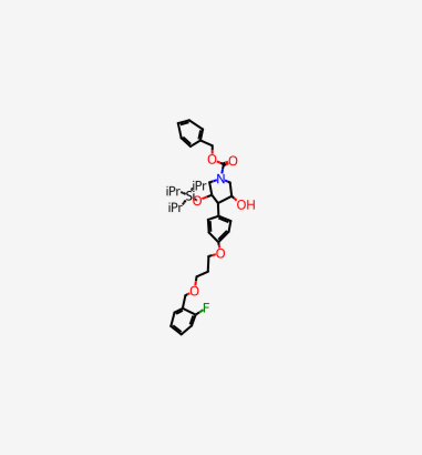 CC(C)[Si](OC1CN(C(=O)OCc2ccccc2)CC(O)C1c1ccc(OCCCOCc2ccccc2F)cc1)(C(C)C)C(C)C